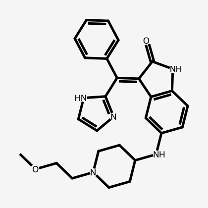 COCCN1CCC(Nc2ccc3c(c2)C(=C(c2ccccc2)c2ncc[nH]2)C(=O)N3)CC1